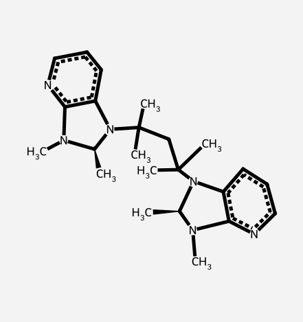 C[C@@H]1N(C)c2ncccc2N1C(C)(C)CC(C)(C)N1c2cccnc2N(C)[C@@H]1C